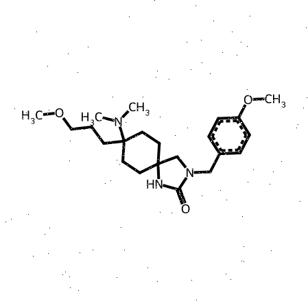 COCCCC1(N(C)C)CCC2(CC1)CN(Cc1ccc(OC)cc1)C(=O)N2